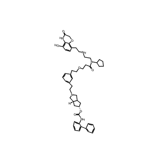 O=C1COc2c(CCNCCN(C(=O)CCOCCc3cccc(CCN4CC5C[C@H](OC(=O)Nc6ccccc6-c6ccccc6)C[C@@H]5C4)c3)C3CCCC3)ccc(O)c2N1